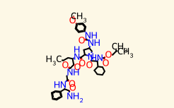 CCCC(NC(=O)C1CC(NC(=O)Nc2ccc(OC)cc2)CN1C(=O)[C@H](NC(=O)OCC(C)C)C1CCCCC1)C(=O)C(=O)NCC(=O)N[C@@H](C(N)=O)c1ccccc1